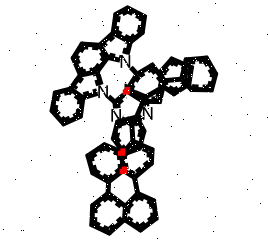 c1ccc(-c2cc(-c3ccccc3)cc(-n3c4ccccc4c4ccc5c6ccccc6n(-c6nc(-c7ccccc7)nc(-c7ccc(-c8cccc9cccc(-c%10ccccc%10)c89)cc7)n6)c5c43)c2)cc1